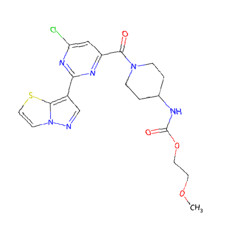 COCCOC(=O)NC1CCN(C(=O)c2cc(Cl)nc(-c3cnn4ccsc34)n2)CC1